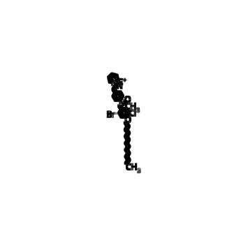 CCCCCCCCCCCCCCOc1ccc(CN(C(C)=O)c2ccc(CC3=N[C+]=C4C=CC=CN43)cc2)cc1Cl.[Br-]